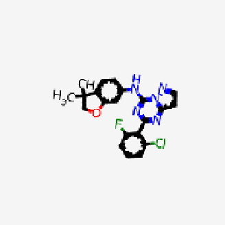 CC1(C)COc2cc(Nc3nc(-c4c(F)cccc4Cl)nc4ccnn34)ccc21